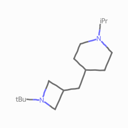 CC(C)N1CCC(CC2CN(C(C)(C)C)C2)CC1